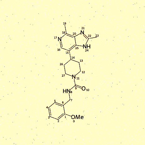 COc1ccccc1CNC(=O)N1CCC(c2cnc(C)c3nc(C)[nH]c23)CC1